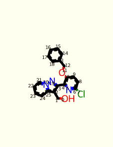 OCc1c(-c2nc(Cl)ccc2OCc2ccccc2)nn2ccccc12